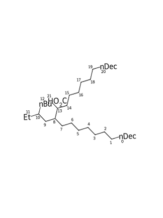 CCCCCCCCCCCCCCCCCC(CC(CC)CCCC)C(CCCCCCCCCCCCCCCC)C(=O)O